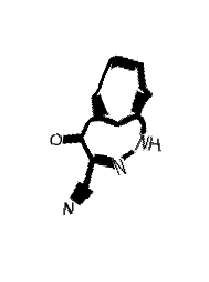 N#Cc1n[nH]c2ccccc2c1=O